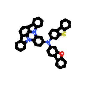 c1ccc2c(c1)oc1cc(N(c3ccc4c(c3)sc3ccccc34)c3ccc4c(c3)n3c5ccccc5c5ccc6c7ccccc7n4c6c53)ccc12